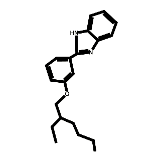 CCCCC(CC)COc1cccc(-c2nc3ccccc3[nH]2)c1